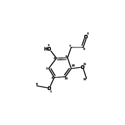 COc1cc(O)c(CC=O)c(OC)c1